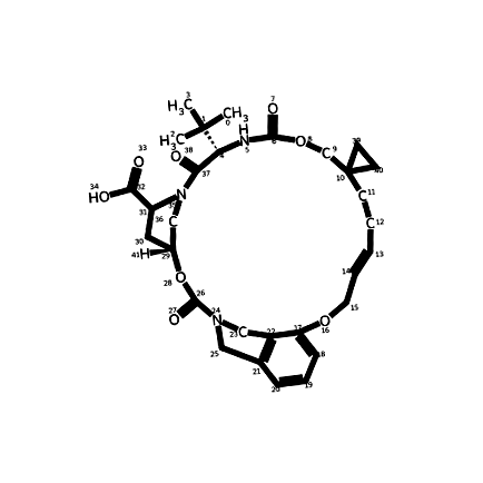 CC(C)(C)[C@@H]1NC(=O)OCC2(CC/C=C/COc3cccc4c3CN(C4)C(=O)O[C@@H]3CC(C(=O)O)N(C3)C1=O)CC2